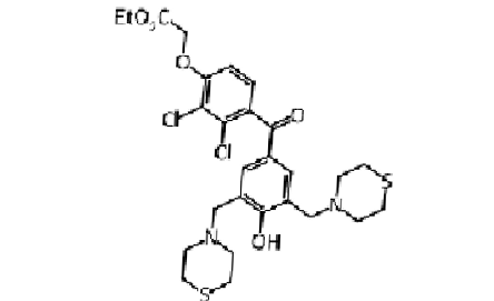 CCOC(=O)COc1ccc(C(=O)c2cc(CN3CCSCC3)c(O)c(CN3CCSCC3)c2)c(Cl)c1Cl